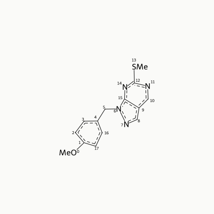 COc1ccc(Cn2ncc3cnc(SC)nc32)cc1